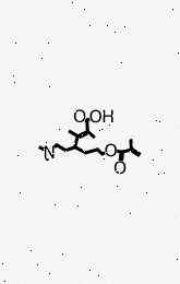 C=C(C)C(=O)OCCCC(CCN(C)C)C(C)=C(C)C(=O)O